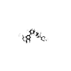 CC(=O)N1CCN(C(C)C)c2cc(-c3nc(Nc4nc(C5CCNCC5)cs4)ncc3F)cc(F)c21